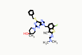 CN(C)/C=N/c1sc2c(F)ccc(Cn3cnc4c(SCc5ccccc5)nc(N5CCC(C)(O)CC5)nc43)c2c1C#N